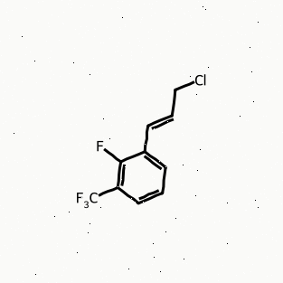 Fc1c(C=CCCl)cccc1C(F)(F)F